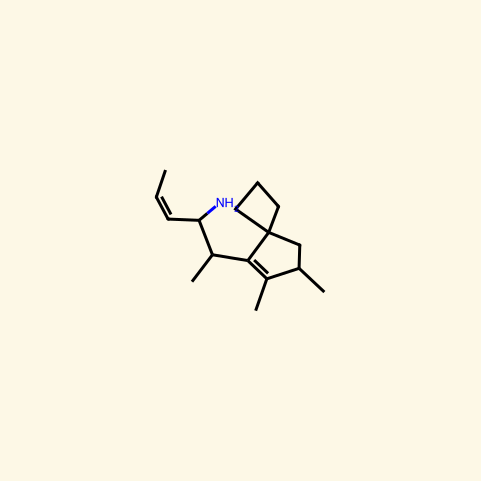 C/C=C\C(N)C(C)C1=C(C)C(C)CC12CCC2